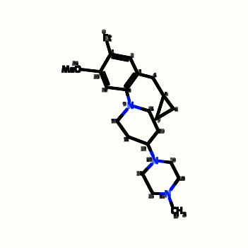 CCc1cc(CC2CC2)c(N2CCC(N3CCN(C)CC3)CC2)cc1OC